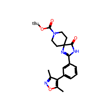 Cc1noc(C)c1-c1cccc(C2=NC3(CCN(C(=O)OC(C)(C)C)CC3)C(=O)N2)c1